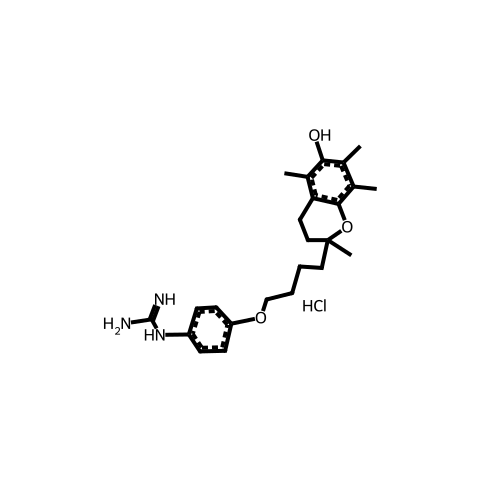 Cc1c(C)c2c(c(C)c1O)CCC(C)(CCCCOc1ccc(NC(=N)N)cc1)O2.Cl